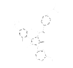 COc1cc(F)c(-c2c(NC(=O)c3ccc(OC(F)F)cc3)c(=O)n(-c3cncc(OC)n3)n2C)c(F)c1